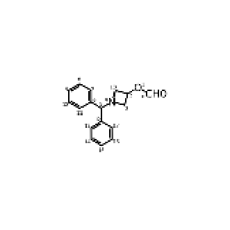 O=COC1CN(C(c2ccccc2)c2ccccc2)C1